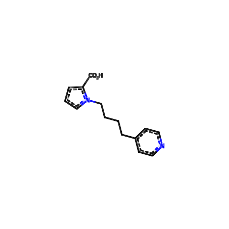 O=C(O)c1cccn1CCCCc1ccncc1